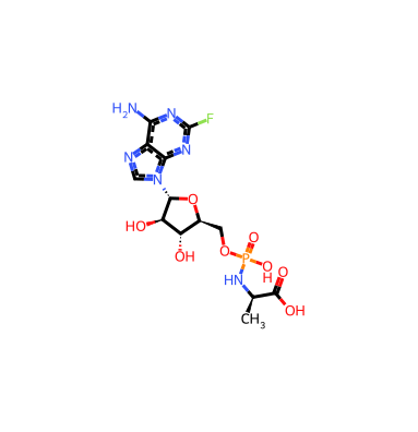 C[C@@H](NP(=O)(O)OC[C@@H]1O[C@@H](n2cnc3c(N)nc(F)nc32)[C@H](O)[C@H]1O)C(=O)O